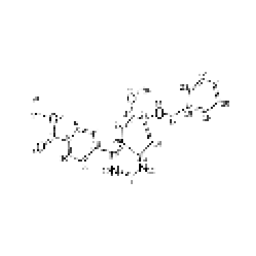 CCOC(=O)c1ccc(-c2ncnc3cc(OCc4ccccc4)c(OC)cc23)cc1